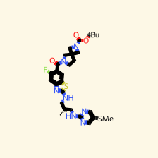 CSc1cnc(NC[C@H](C)CNc2nc3cc(F)c(C(=O)N4CCC5(CN(C(=O)OC(C)(C)C)C5)C4)cc3s2)nc1